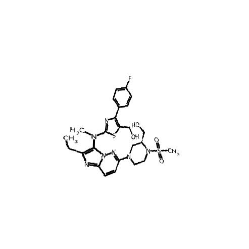 CCc1nc2ccc(N3CCN(S(C)(=O)=O)[C@H](CO)C3)nn2c1N(C)c1nc(-c2ccc(F)cc2)c(CO)s1